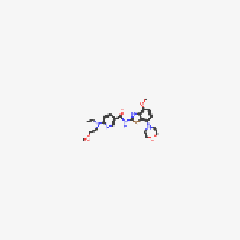 CCN(CCOC)c1ccc(C(=O)Nc2nc3c(OC)ccc(N4CCOCC4)c3s2)cn1